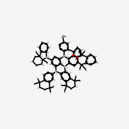 CC(C)(C)c1ccc(N2c3cc4c(cc3B3c5cc6c(cc5N(c5ccc7c(c5)C(C)(C)CCC7(C)C)c5cc(N7c8ccccc8C8(C)CCCCC78C)cc2c53)C(C)(C)CCC6(C)C)C(C)(C)c2ccccc2C4(C)C)c(-c2ccccc2)c1